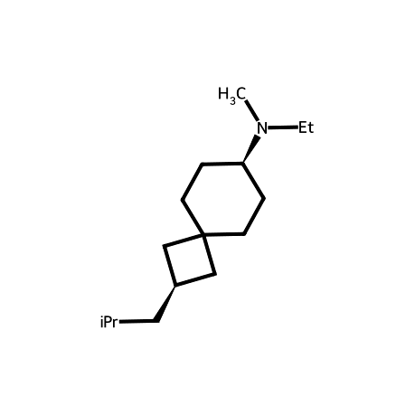 CCN(C)[C@H]1CCC2(CC1)C[C@H](CC(C)C)C2